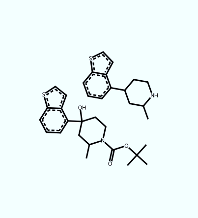 CC1CC(O)(c2cccc3sccc23)CCN1C(=O)OC(C)(C)C.CC1CC(c2cccc3sccc23)CCN1